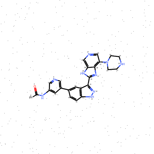 CC(C)C(=O)Nc1cncc(-c2ccc3[nH]nc(-c4nc5c(N6CCNCC6)cncc5[nH]4)c3c2)c1